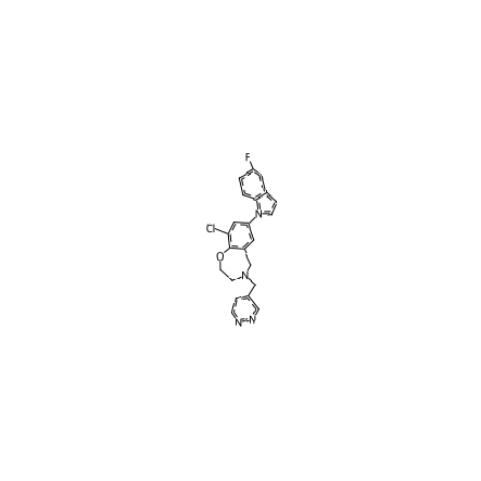 Fc1ccc2c(ccn2-c2cc(Cl)c3c(c2)CN(Cc2ccnnc2)CCO3)c1